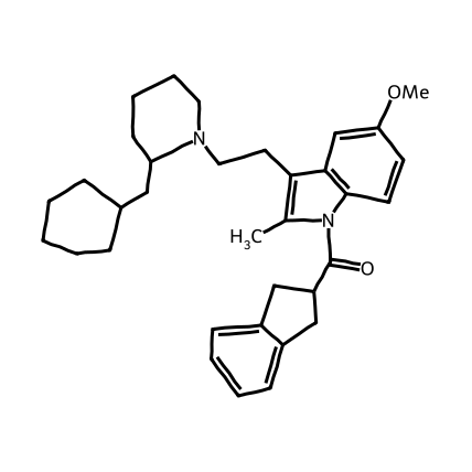 COc1ccc2c(c1)c(CCN1CCCCC1CC1CCCCC1)c(C)n2C(=O)C1Cc2ccccc2C1